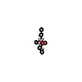 C=N/C(=N\C(=N/Cc1ccccc1)c1ccccc1-n1c2ccccc2c2c3oc4ccccc4c3ccc21)c1ccc(-c2ccccc2)cc1